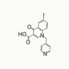 O=C(O)c1cn(Cc2ccncc2)c2ccc(I)cc2c1=O